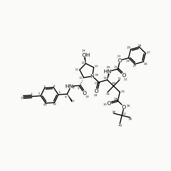 C#Cc1ccc([C@H](C)NC(=O)[C@@H]2C[C@@H](O)CN2C(=O)[C@@H](NC(=O)Oc2ccccc2)C(C)(C)CC(=O)OC(C)(C)C)cc1